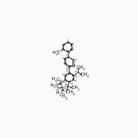 Cc1ccccc1-c1ccc(-c2cc3c(cc2C(C)C)C(C)(C)C(C)(C)C3(C)C)nc1